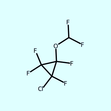 FC(F)OC1(F)C(F)(F)C1(F)Cl